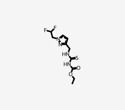 CCOC(=O)NC(=S)NCc1ccn(CC(F)F)n1